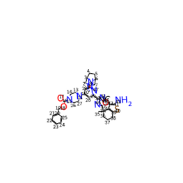 CN1CC2CCC(C1)N2c1cc(N2CCN(C(=O)OCc3ccccc3)CC2)cc(-c2noc(C3(C)CCCc4sc(N)c(C#N)c43)n2)n1